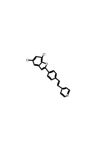 Clc1cc(Cl)c2oc(-c3ccc(/C=C/c4ccncc4)cc3)cc2c1